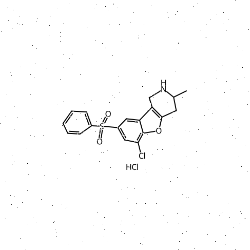 CC1Cc2oc3c(Cl)cc(S(=O)(=O)c4ccccc4)cc3c2CN1.Cl